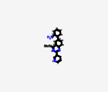 CNC1=NC(C2C=NC=CC2)=NC2CC=C(C3CC=CC=C3N)C=C12